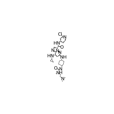 CN(C)CCN(C)C(=O)NC1CCC(Nc2cc(NC3CC3)c3ncc(C(=O)Nc4ccnc(Cl)c4)n3n2)CC1